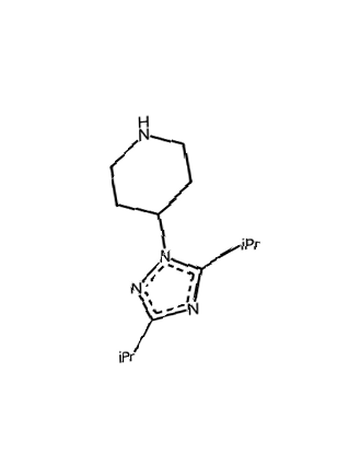 CC(C)c1nc(C(C)C)n(C2CCNCC2)n1